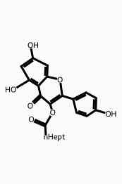 CCCCCCCC(=O)Oc1c(-c2ccc(O)cc2)oc2cc(O)cc(O)c2c1=O